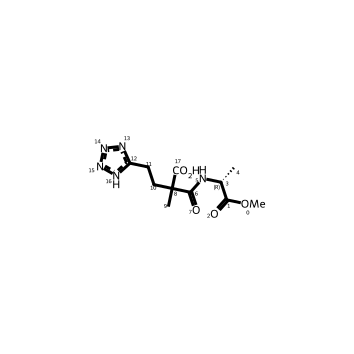 COC(=O)[C@@H](C)NC(=O)C(C)(CCc1nnn[nH]1)C(=O)O